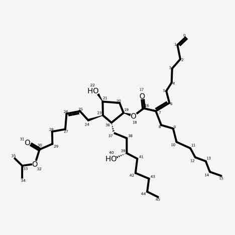 C=CCCCC/C=C(/CCCCCCCC)C(=O)O[C@@H]1C[C@H](O)[C@H](C/C=C\CCCC(=O)OC(C)C)[C@H]1CC[C@@H](O)CCCCC